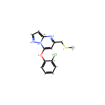 CCSCc1cc(Oc2ccccc2Cl)n2nccc2n1